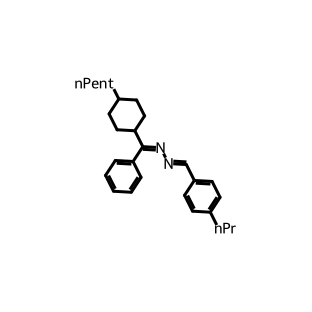 CCCCCC1CCC(C(=NN=Cc2ccc(CCC)cc2)c2ccccc2)CC1